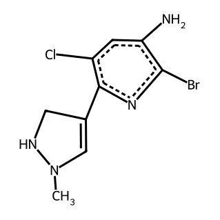 CN1C=C(c2nc(Br)c(N)cc2Cl)CN1